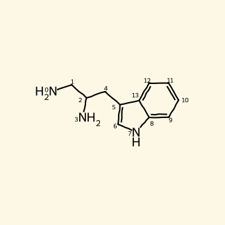 NCC(N)Cc1c[nH]c2ccccc12